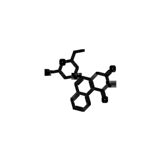 CCC1CNCC(Br)O1.O=C1Cc2ccc3ccccc3c2C(=O)N1